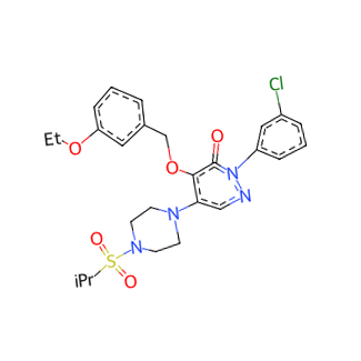 CCOc1cccc(COc2c(N3CCN(S(=O)(=O)C(C)C)CC3)cnn(-c3cccc(Cl)c3)c2=O)c1